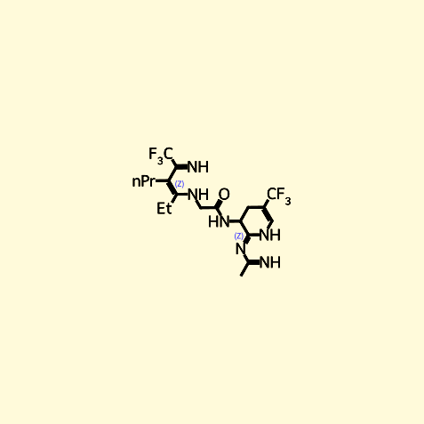 CCC/C(C(=N)C(F)(F)F)=C(\CC)NCC(=O)NC1CC(C(F)(F)F)=CN/C1=N\C(C)=N